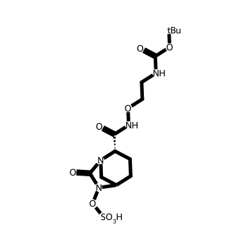 CC(C)(C)OC(=O)NCCONC(=O)[C@@H]1CCC2CN1C(=O)N2OS(=O)(=O)O